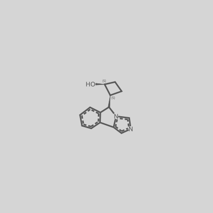 O[C@H]1CC[C@H]1C1c2ccccc2-c2cncn21